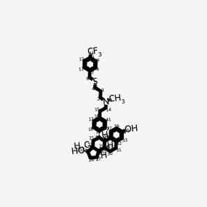 CN(CCCSCc1ccc(C(F)(F)F)cc1)CCc1ccc([C@H]2C[C@]3(C)[C@@H](O)CC[C@H]3[C@@H]3CCc4cc(O)ccc4[C@H]32)cc1